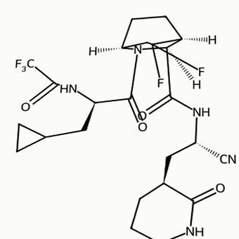 N#C[C@H](C[C@@H]1CCCNC1=O)NC(=O)[C@@H]1[C@@H]2CC[C@@H](CC2(F)F)N1C(=O)[C@@H](CC1CC1)NC(=O)C(F)(F)F